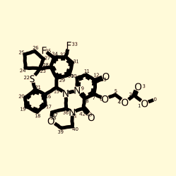 COC(=O)OCOc1c2n(ccc1=O)N(C1c3ccccc3SC3(CCCC3)c3c1ccc(F)c3F)C1COCCN1C2=O